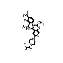 Cc1nc(N[C@H](C)c2cccc(C(F)F)c2F)c2cc(N3CCN(C(=O)C(F)F)CC3)ncc2n1